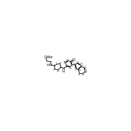 COCCNC1CCC(Nc2cc(-c3ccc4c(c3)CCN=C4)c(Cl)cn2)CC1